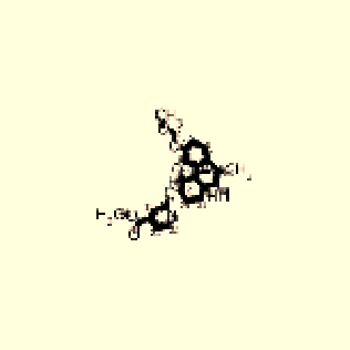 COCOc1ccc2c3c1O[C@H]1[C@@H](Oc4cc(C(=O)OC)ccn4)C=C[C@H]4[C@@H](C2)N(C)CC[C@@]341